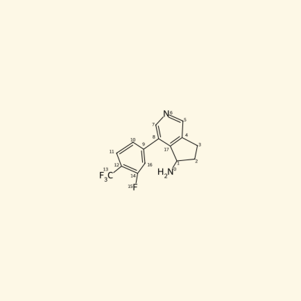 NC1CCc2cncc(-c3ccc(C(F)(F)F)c(F)c3)c21